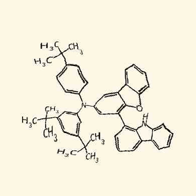 CC(C)(C)c1ccc(N(c2cc(C(C)(C)C)cc(C(C)(C)C)c2)c2cc(-c3cccc4c3[nH]c3ccccc34)c3oc4ccccc4c3c2)cc1